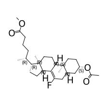 COC(=O)CCC[C@@H](C)[C@H]1CC[C@H]2C3=C(F)C[C@H]4C[C@@H](OC(C)=O)CC[C@]4(C)[C@H]3CC[C@]12C